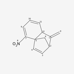 C=C1C2C=CC3(C2)C([N+](=O)[O-])=CC=CC13